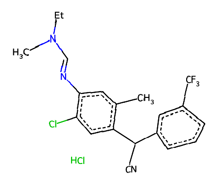 CCN(C)C=Nc1cc(C)c(C(C#N)c2cccc(C(F)(F)F)c2)cc1Cl.Cl